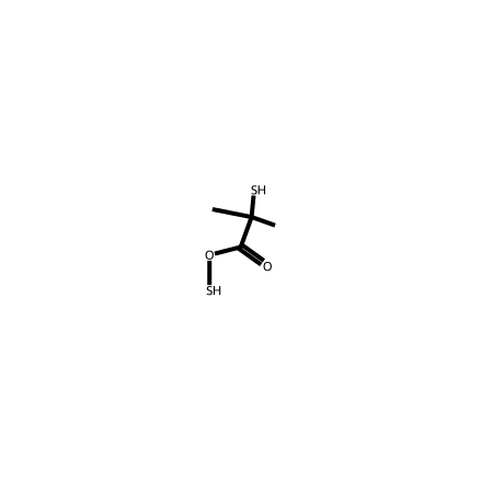 CC(C)(S)C(=O)OS